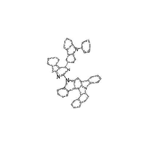 c1ccc(-n2c3ccccc3c3cc(-c4nc(-n5c6ccccc6c6c7c8c9ccccc9ccc8n8c9ccccc9c(cc65)c78)nc5sc6ccccc6c45)ccc32)cc1